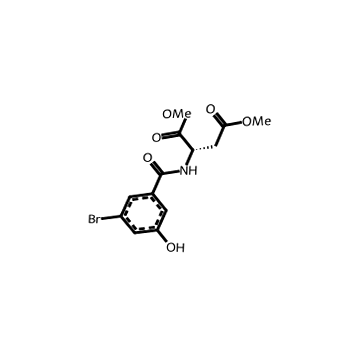 COC(=O)C[C@H](NC(=O)c1cc(O)cc(Br)c1)C(=O)OC